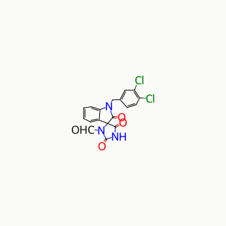 O=CN1C(=O)NC(=O)C12C(=O)N(Cc1ccc(Cl)c(Cl)c1)c1ccccc12